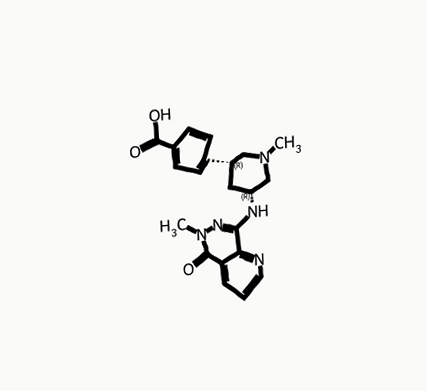 CN1C[C@H](Nc2nn(C)c(=O)c3cccnc23)C[C@H](c2ccc(C(=O)O)cc2)C1